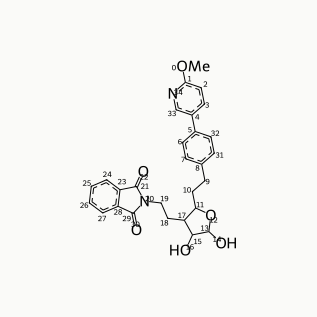 COc1ccc(-c2ccc(CCC3OC(O)C(O)C3CCN3C(=O)c4ccccc4C3=O)cc2)cn1